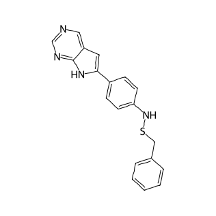 c1ccc(CSNc2ccc(-c3cc4cncnc4[nH]3)cc2)cc1